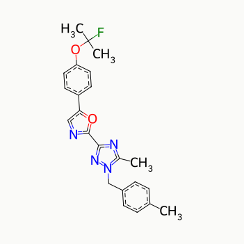 Cc1ccc(Cn2nc(-c3ncc(-c4ccc(OC(C)(C)F)cc4)o3)nc2C)cc1